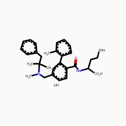 CSCCC(NC(=O)c1ccc(CN(C)C(C)(C)Cc2ccccc2)cc1-c1ccccc1C)C(=O)O.[LiH]